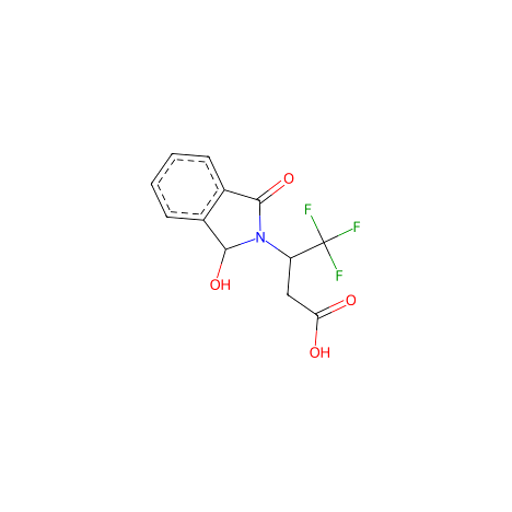 O=C(O)CC(N1C(=O)c2ccccc2C1O)C(F)(F)F